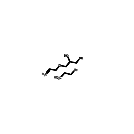 C=CCOCC(O)CO.CC(=O)CCC(=O)O